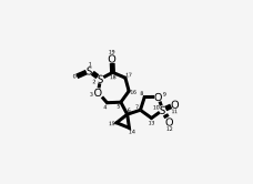 C=S=S1OCC(C2(C3COS(=O)(=O)C3)CC2)CCC1=O